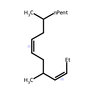 CC/C=C\C(C)C/C=C\CC(C)CCCCC